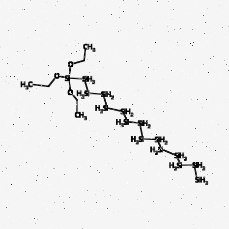 CCO[Si](OCC)(OCC)[SiH2][SiH2][SiH2][SiH2][SiH2][SiH2][SiH2][SiH2][SiH2][SiH2][SiH2][SiH2][SiH2][SiH3]